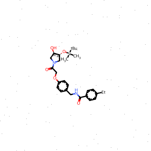 CCc1ccc(C(=O)NCc2ccc(OCC(=O)N3C[C@@H](O)[C@H](O[Si](C)(C)C(C)(C)C)C3)cc2)cc1